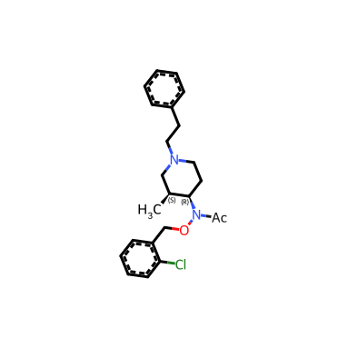 CC(=O)N(OCc1ccccc1Cl)[C@@H]1CCN(CCc2ccccc2)C[C@@H]1C